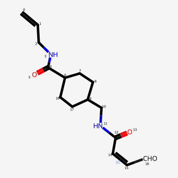 C=CCNC(=O)C1CCC(CNC(=O)/C=C\C=O)CC1